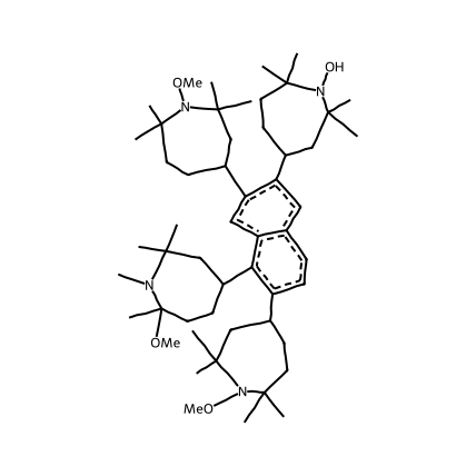 CON1C(C)(C)CCC(c2cc3c(C4CCC(C)(OC)N(C)C(C)(C)C4)c(C4CCC(C)(C)N(OC)C(C)(C)C4)ccc3cc2C2CCC(C)(C)N(O)C(C)(C)C2)CC1(C)C